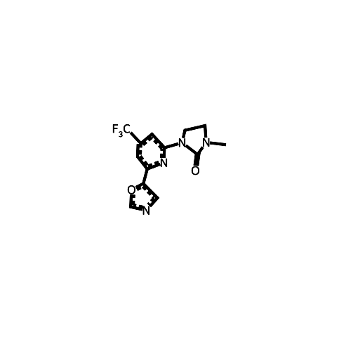 CN1CCN(c2cc(C(F)(F)F)cc(-c3cnco3)n2)C1=O